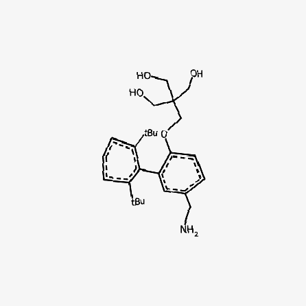 CC(C)(C)c1cccc(C(C)(C)C)c1-c1cc(CN)ccc1OCC(CO)(CO)CO